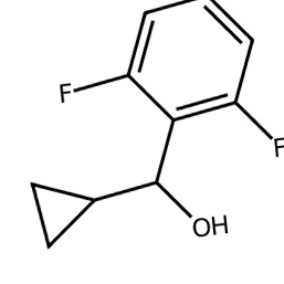 OC(c1c(F)cccc1F)C1CC1